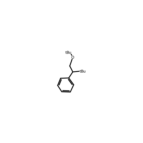 CC(C)(C)OCC(c1ccccc1)C(C)(C)C